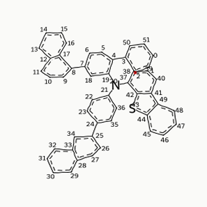 c1ccc(-c2ccc(-c3cccc4ccccc34)cc2N(c2ccc(-c3ccc4ccccc4c3)cc2)c2cccc3c2sc2ccccc23)cc1